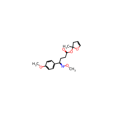 CO/N=C(\CCC(=O)OC1(C)CC=CO1)c1ccc(OC)cc1